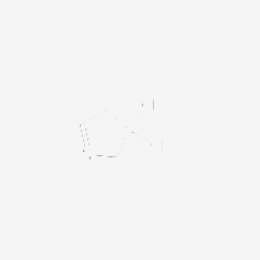 CS1(C)CC=NC1